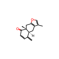 C=C1C=CC(=O)[C@]2(C)Cc3occ(C)c3C[C@@H]12